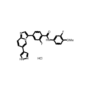 COc1ccc(NC(=O)c2ccc(-c3cnc4ccc(-c5cn[nH]c5)cn34)cc2F)cc1F.Cl